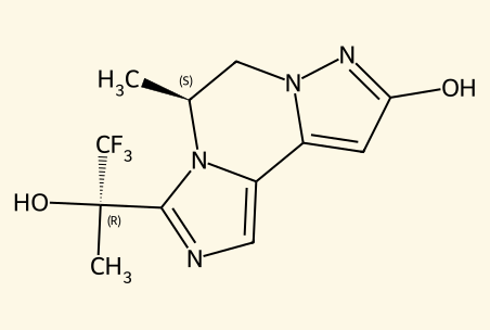 C[C@H]1Cn2nc(O)cc2-c2cnc([C@@](C)(O)C(F)(F)F)n21